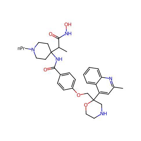 CCCN1CCC(NC(=O)c2ccc(OCC3(c4cc(C)nc5ccccc45)CNCCO3)cc2)(C(C)C(=O)NO)CC1